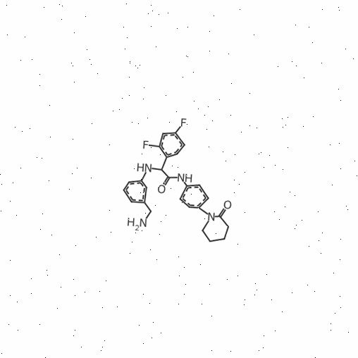 NCc1cccc(NC(C(=O)Nc2ccc(N3CCCCC3=O)cc2)c2ccc(F)cc2F)c1